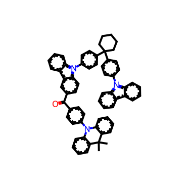 CC1(C)c2ccccc2N(c2ccc(C(=O)c3ccc4c(c3)c3ccccc3n4-c3ccc(C4(c5ccc(-n6c7ccccc7c7ccccc76)cc5)CCCCC4)cc3)cc2)c2ccccc21